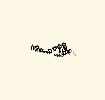 CCOc1cc([C@@H](CS(C)(=O)=O)N2Cc3cccc(N4CCN(C5CCN(C6CCN(CCCc7ccc(C8CCC(=O)NC8=O)cc7)CC6)CC5)CC4)c3C2)ccc1OC